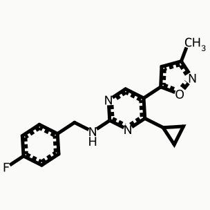 Cc1cc(-c2cnc(NCc3ccc(F)cc3)nc2C2CC2)on1